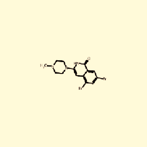 CN1CCN(c2cc3c(Br)cc(Br)cc3c(=O)[nH]2)CC1